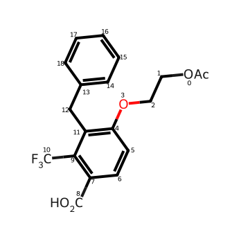 CC(=O)OCCOc1ccc(C(=O)O)c(C(F)(F)F)c1Cc1ccccc1